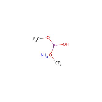 N.OP(OC(F)(F)F)OC(F)(F)F